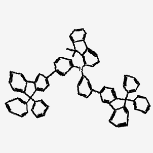 CC1(C)c2ccccc2-c2cccc(N(c3cccc(-c4ccc5c(c4)-c4ccccc4C5(c4ccccc4)c4ccccc4)c3)c3cccc(-c4ccc5c(c4)-c4ccccc4C5(c4ccccc4)c4ccccc4)c3)c21